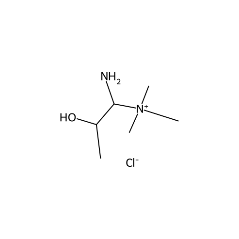 CC(O)C(N)[N+](C)(C)C.[Cl-]